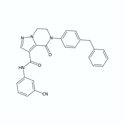 N#Cc1cccc(NC(=O)c2cnn3c2C(=O)N(c2ccc(Cc4ccccc4)cc2)CC3)c1